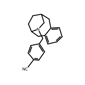 N#Cc1ccc(CN2CC3CCC2Cc2ccccc2C3)cc1